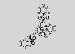 O=S(=O)(OCCCC(COS(=O)(=O)c1ccccc1)OS(=O)(=O)c1ccccc1)c1ccccc1